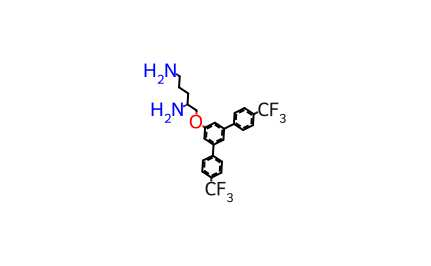 NCCC[C@H](N)COc1cc(-c2ccc(C(F)(F)F)cc2)cc(-c2ccc(C(F)(F)F)cc2)c1